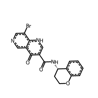 O=C(N[C@H]1CCOc2ccccc21)c1c[nH]c2c(Br)cncc2c1=O